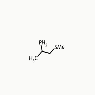 CSCC(C)P